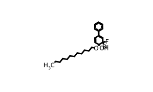 CCCCCCCCCCCCOC1(O)C=CC(c2ccccc2)=CC1(F)Br